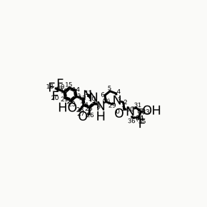 O=C(CN1CCC[C@@H](Nc2nnc(-c3ccc(C(F)(F)F)cc3O)c3c2COC3)C1)N1C[C@@H](O)[C@H](F)C1